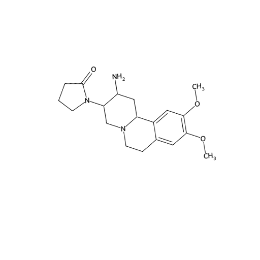 COc1cc2c(cc1OC)C1CC(N)C(N3CCCC3=O)CN1CC2